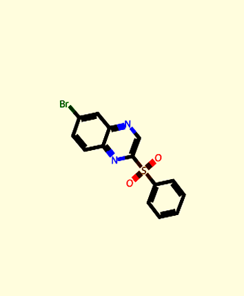 O=S(=O)(c1ccccc1)c1cnc2cc(Br)ccc2n1